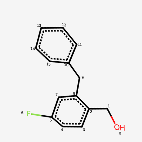 OCc1ccc(F)cc1Cc1ccccc1